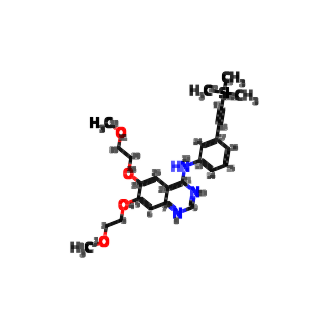 COCCOc1cc2ncnc(Nc3cccc(C#C[Si](C)(C)C)c3)c2cc1OCCOC